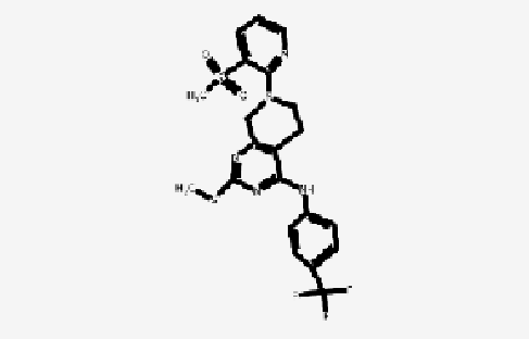 CSc1nc2c(c(Nc3ccc(C(F)(F)F)cc3)n1)CCN(c1ncccc1S(C)(=O)=O)C2